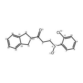 O=C(CC[S+]([O-])c1ccccc1Cl)N1Cc2ccccc2C1